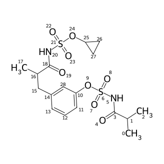 CC(C)C(=O)NS(=O)(=O)Oc1cccc(CC(C)C(=O)NS(=O)(=O)OC2CC2)c1